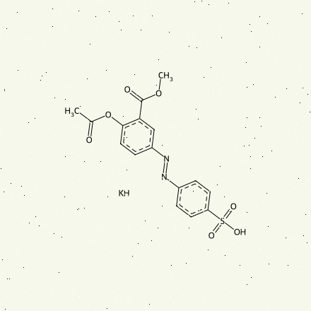 COC(=O)c1cc(N=Nc2ccc(S(=O)(=O)O)cc2)ccc1OC(C)=O.[KH]